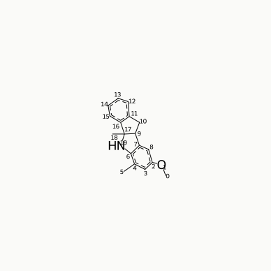 COc1cc(C)c2c(c1)C1Cc3ccccc3C1(C)N2